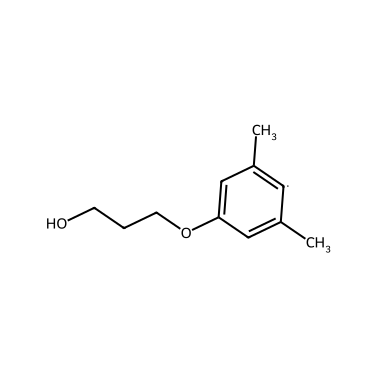 Cc1[c]c(C)cc(OCCCO)c1